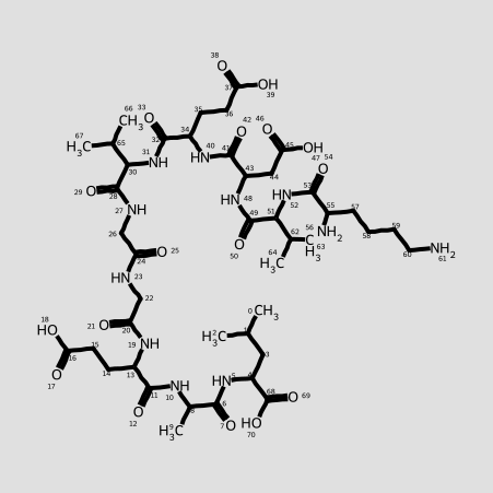 CC(C)CC(NC(=O)C(C)NC(=O)C(CCC(=O)O)NC(=O)CNC(=O)CNC(=O)C(NC(=O)C(CCC(=O)O)NC(=O)C(CC(=O)O)NC(=O)C(NC(=O)C(N)CCCCN)C(C)C)C(C)C)C(=O)O